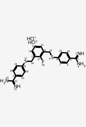 Cl.Cl.N=C(N)c1ccc(SCc2cccc(CSc3ccc(C(=N)N)cc3)c2F)cc1